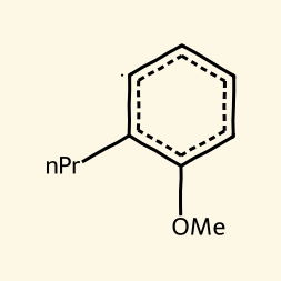 CCCc1[c]cccc1OC